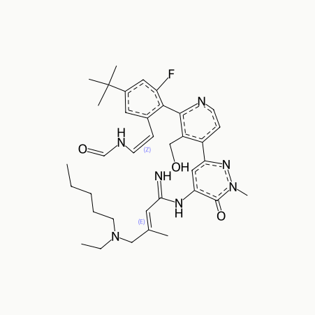 CCCCCN(CC)C/C(C)=C/C(=N)Nc1cc(-c2ccnc(-c3c(F)cc(C(C)(C)C)cc3/C=C\NC=O)c2CO)nn(C)c1=O